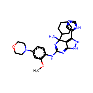 COc1cc(N2CCOCC2)ccc1NC1=NC(N)(C2CCCCC2)C2=C(c3cnc[nH]3)NNC2=N1